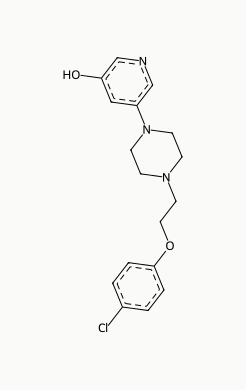 Oc1cncc(N2CCN(CCOc3ccc(Cl)cc3)CC2)c1